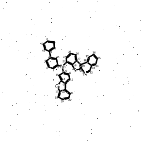 c1ccc(-c2cccc(N(c3ccc4c(c3)oc3ccccc34)c3cccc4c3sc3ncc5ccccc5c34)c2)cc1